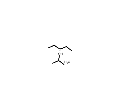 CC(C)O.CCOCC.O